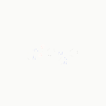 O=S(=O)(Nc1nccs1)c1ccc(Nc2ccnn2-c2ccccc2)cc1